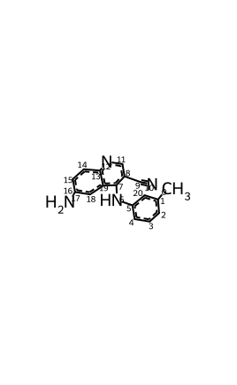 Cc1cccc(Nc2c(C#N)cnc3ccc(N)cc23)c1